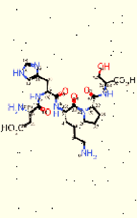 NCCCC[C@H](NC(=O)[C@H](Cc1c[nH]cn1)NC(=O)[C@@H](N)CC(=O)O)C(=O)N1CCC[C@H]1C(=O)N[C@@H](CO)C(=O)O